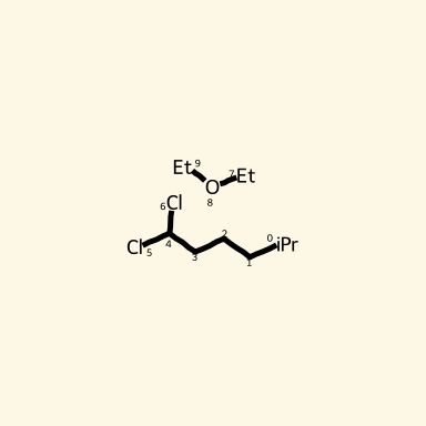 CC(C)CCCC(Cl)Cl.CCOCC